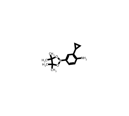 CC1(C)OB(c2ccc(N)c(C3CC3)c2)OC1(C)C